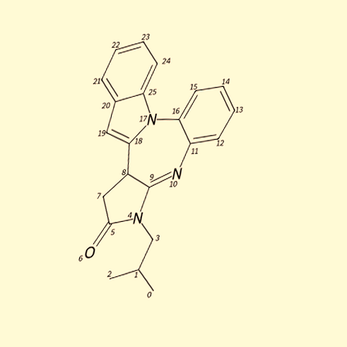 CC(C)CN1C(=O)CC2C1=Nc1ccccc1-n1c2cc2ccccc21